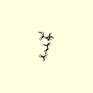 COC(=O)[C@@H]1[C@@H](/C=C(\C)C=NOC(C)=O)C1(C)C